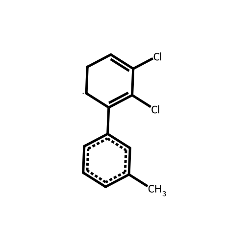 Cc1cccc(C2=C(Cl)C(Cl)=CC[CH]2)c1